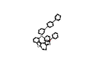 c1ccc(-c2ccc(-c3cccc(N(c4ccccc4)c4cccc5oc6ccc7nc(-c8ccccc8)oc7c6c45)c3)cc2)cc1